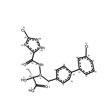 C[C@@](O)(C(=O)O)N(Cc1ccc(-c2cccc(Cl)c2)cc1)NC(=O)c1nc(Cl)n[nH]1